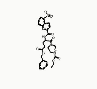 CCOC(=O)N1CCN(C(=O)C(CCC(=O)OCc2ccccc2)NC(=O)c2ccc3c([N+](=O)[O-])cccc3n2)CC1